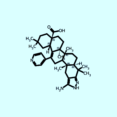 CC1(C)CC[C@]2(C(=O)O)CC[C@]3(C)C(=C(c4ccncc4)CC4[C@@]5(C)Cc6c(n[nH]c6N)C(C)(C)[C@@H]5CC[C@]43C)[C@@H]2C1